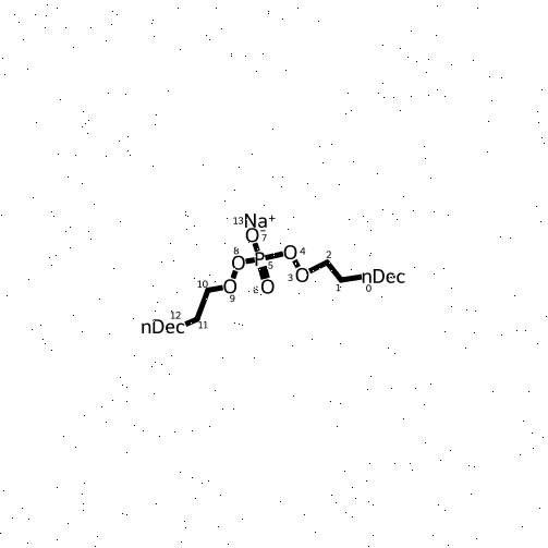 CCCCCCCCCCCCOOP(=O)([O-])OOCCCCCCCCCCCC.[Na+]